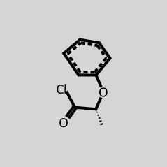 C[C@@H](Oc1ccccc1)C(=O)Cl